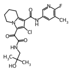 Cc1cc(NC(=O)c2c(Cl)c(C(=O)C(=O)NCC(C)(C)O)n3c2CCCC3)cnc1F